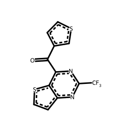 O=C(c1ccsc1)c1nc(C(F)(F)F)nc2ccsc12